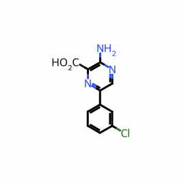 Nc1ncc(-c2cccc(Cl)c2)nc1C(=O)O